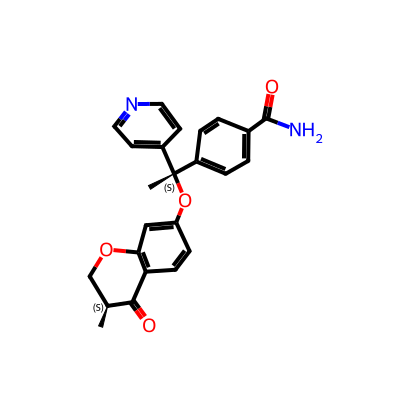 C[C@H]1COc2cc(O[C@](C)(c3ccncc3)c3ccc(C(N)=O)cc3)ccc2C1=O